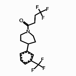 O=C(CCC(F)(F)F)N1CCC(c2cccc(C(F)(F)F)c2)CC1